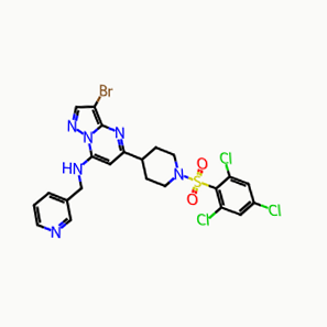 O=S(=O)(c1c(Cl)cc(Cl)cc1Cl)N1CCC(c2cc(NCc3cccnc3)n3ncc(Br)c3n2)CC1